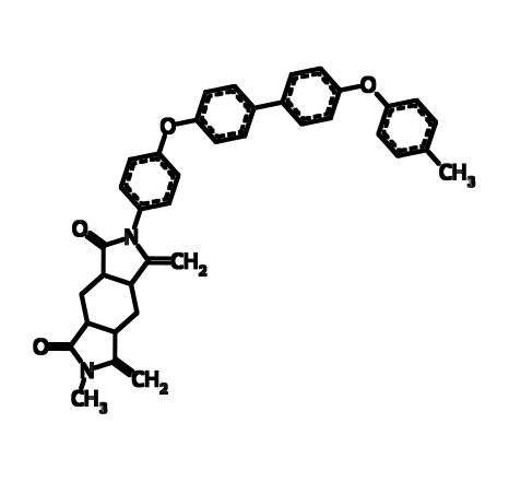 C=C1C2CC3C(=C)N(c4ccc(Oc5ccc(-c6ccc(Oc7ccc(C)cc7)cc6)cc5)cc4)C(=O)C3CC2C(=O)N1C